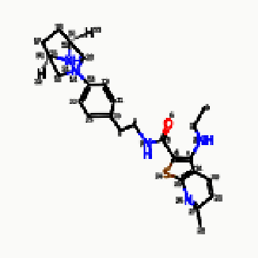 CCNc1c(C(=O)NCCc2ccc(N3C[C@H]4CC[C@@H](C3)N4)cc2)sc2nc(C)ccc12